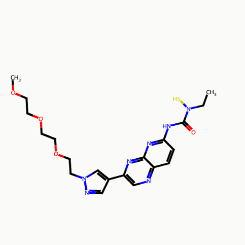 CCN(S)C(=O)Nc1ccc2ncc(-c3cnn(CCOCCOCCOC)c3)nc2n1